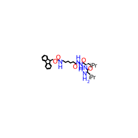 CC(C)C[C@H](N)C(=O)N[C@H](CC(C)C)C(=O)NNC(=O)CCCCCNC(=O)OCC1c2ccccc2-c2ccccc21